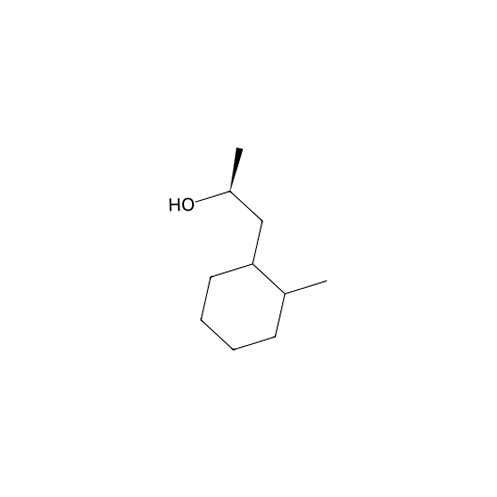 CC1CCCCC1C[C@H](C)O